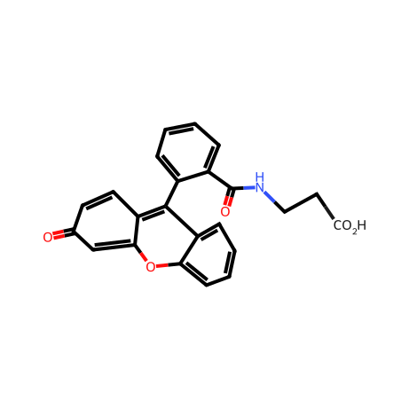 O=C(O)CCNC(=O)c1ccccc1-c1c2ccc(=O)cc-2oc2ccccc12